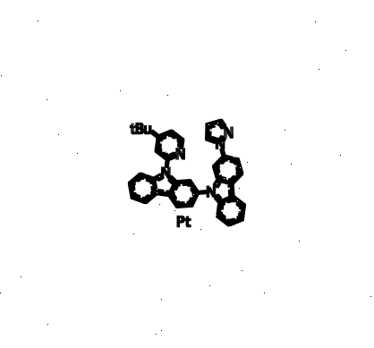 CC(C)(C)c1ccnc(-n2c3ccccc3c3ccc(-n4c5ccccc5c5ccc(-n6cccn6)cc54)cc32)c1.[Pt]